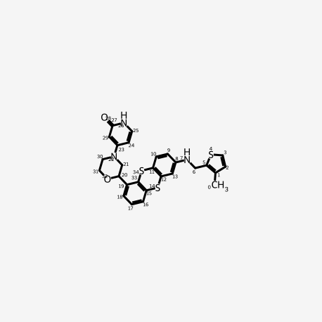 Cc1ccsc1CNc1ccc2c(c1)Sc1cccc(C3CN(c4cc[nH]c(=O)c4)CCO3)c1S2